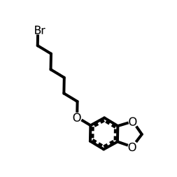 BrCCCCCCOc1ccc2c(c1)OCO2